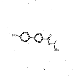 CCCC[C@H](C)OC(=O)c1ccc(-c2ccc(O)cc2)cc1